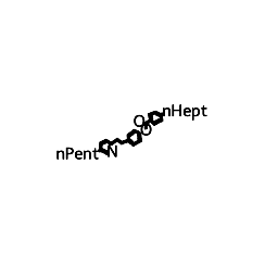 CCCCCCCc1ccc(C(=O)Oc2ccc(CCc3ccc(CCCCC)cn3)cc2)cc1